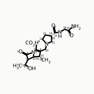 C[C@@H](O)C1C(=O)N2C(C(=O)O)=C(CN3CC[C@H](C(=O)NCC(N)=O)C3)[C@H](C)C12